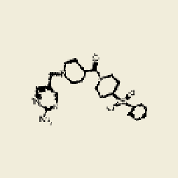 Nc1ncc(CN2CCC(C(=O)N3CCC(S(=O)(=O)c4ccccc4)CC3)CC2)cn1